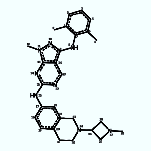 Cc1cccc(C)c1Nc1nn(C)c2nc(Nc3ccc4c(c3)CN(C3CN(C)C3)CC4)ncc12